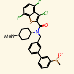 CN[C@H]1CC[C@H](N(Cc2cccc(-c3cccc([S+](C)[O-])c3)c2)C(=O)c2sc3c(F)ccc(F)c3c2Cl)CC1